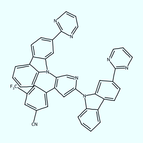 N#Cc1cc(-c2cc(-n3c4ccccc4c4ccc(-c5ncccn5)cc43)ncc2-n2c3ccccc3c3ccc(-c4ncccn4)cc32)cc(C(F)(F)F)c1